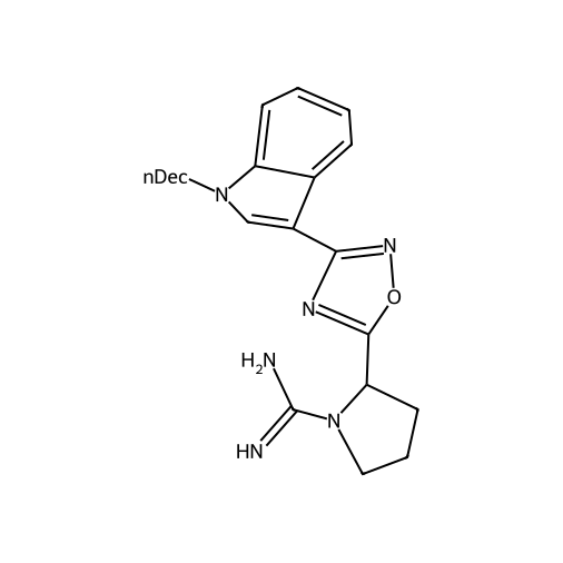 CCCCCCCCCCn1cc(-c2noc(C3CCCN3C(=N)N)n2)c2ccccc21